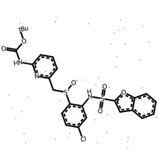 CC(C)(C)OC(=O)Nc1cccc(C[S+]([O-])c2ccc(Cl)cc2NS(=O)(=O)c2cc3ccccc3o2)n1